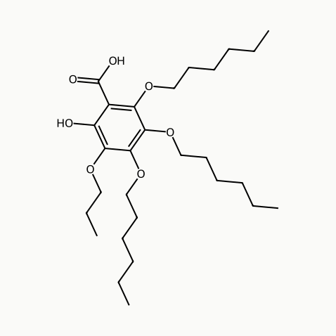 CCCCCCOc1c(OCCC)c(O)c(C(=O)O)c(OCCCCCC)c1OCCCCCC